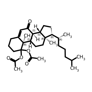 CC(=O)OC1(OC(C)=O)CCCC2=CC(=O)[C@H]3[C@@H]4CC[C@H]([C@H](C)CCCC(C)C)[C@@]4(C)CC[C@@H]3[C@]21C